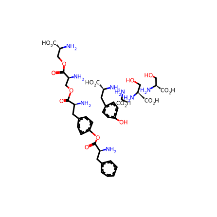 NCC(=O)O.N[C@@H](CO)C(=O)O.N[C@@H](CO)C(=O)O.N[C@@H](COC(=O)[C@@H](N)COC(=O)[C@@H](N)Cc1ccc(OC(=O)[C@@H](N)Cc2ccccc2)cc1)C(=O)O.N[C@@H](Cc1ccc(O)cc1)C(=O)O